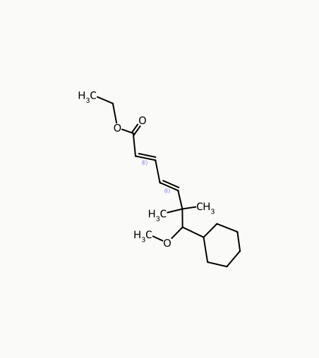 CCOC(=O)/C=C/C=C/C(C)(C)C(OC)C1CCCCC1